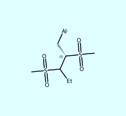 CCC([C@H]([CH2][Al])S(C)(=O)=O)S(C)(=O)=O